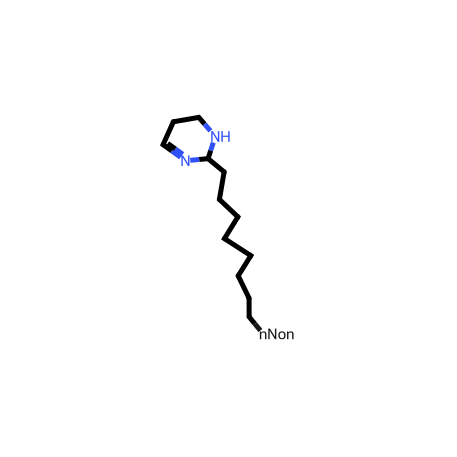 CCCCCCCCCCCCCCCCCC1N=CCCN1